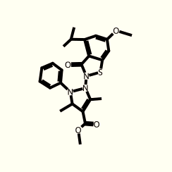 COC(=O)C1=C(C)N(n2sc3cc(OC)cc(C(C)C)c3c2=O)N(c2ccccc2)C1C